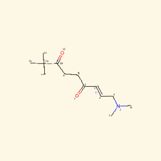 CN(C)C/C=C/C(=O)CCC(=O)C(C)(C)C